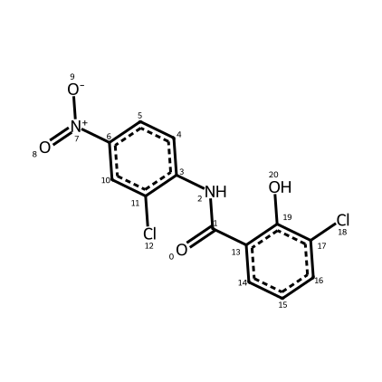 O=C(Nc1ccc([N+](=O)[O-])cc1Cl)c1cccc(Cl)c1O